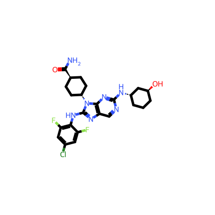 NC(=O)[C@H]1CC[C@H](n2c(Nc3c(F)cc(Cl)cc3F)nc3cnc(N[C@H]4CCC[C@H](O)C4)nc32)CC1